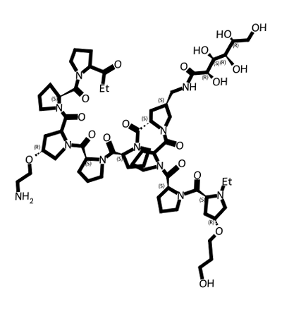 CCC(=O)C1CCCN1C(=O)[C@@H]1CCCN1C(=O)C1C[C@@H](OCCN)CN1C(=O)[C@@H]1CCCN1C(=O)[C@@H]1CCCN1C(=O)[C@@H]1C[C@@H](CNC(=O)[C@H](O)[C@@H](O)[C@H](O)[C@H](O)CO)CN1C(=O)C1CCCN1C(=O)[C@@H]1CCCN1C(=O)[C@@H]1C[C@@H](OCCCO)CN1CC